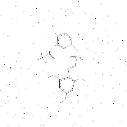 COc1cc(OC)c(C=CS(=O)(=O)Nc2ccc(OC)c(NC(=O)C(F)(F)F)c2)c(OC)c1